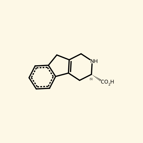 O=C(O)[C@@H]1CC2=C(CN1)Cc1ccccc12